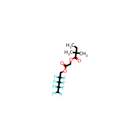 CCC(C)(C)C(=O)OCC(=O)OCC(F)(F)C(F)(F)C(F)(F)C(F)F